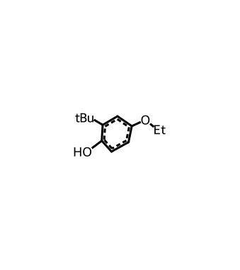 CCOc1ccc(O)c(C(C)(C)C)c1